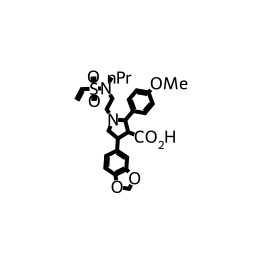 C=CS(=O)(=O)N(CCC)CCN1CC(c2ccc3c(c2)OCO3)C(C(=O)O)C1c1ccc(OC)cc1